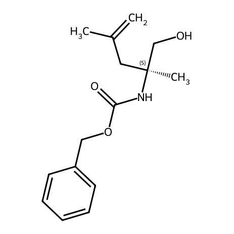 C=C(C)C[C@@](C)(CO)NC(=O)OCc1ccccc1